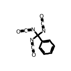 O=C=NC(N=C=O)(N=C=O)c1ccccc1